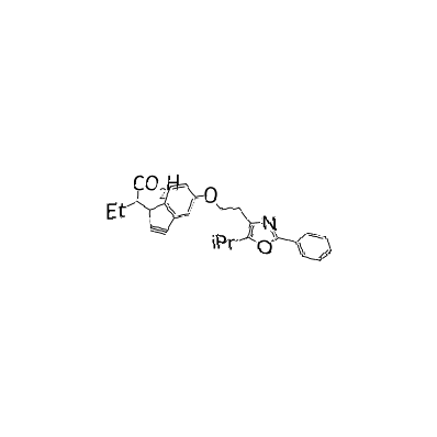 CCC(C(=O)O)C1C#Cc2cc(OCCc3nc(-c4ccccc4)oc3C(C)C)ccc21